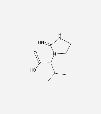 CC(C)C(C(=O)O)N1CCNC1=N